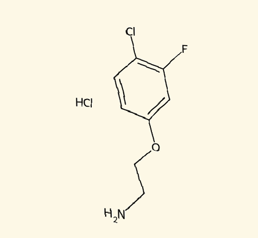 Cl.NCCOc1ccc(Cl)c(F)c1